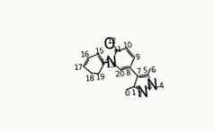 Cc1nn(C)c(C)c1-c1ccc(=O)n(C2=CC=CCC2)c1